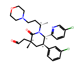 C[C@@H](CCN1CCOCC1)N1C(=O)[C@@](C)(CC=O)C[C@H](c2cccc(Cl)c2)[C@H]1c1ccc(Cl)cn1